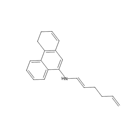 C=CCC/C=C/Nc1cc2c(c3ccccc13)CCC=C2